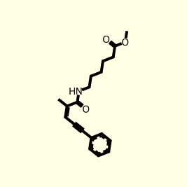 COC(=O)CCCCCNC(=O)C(C)=CC#Cc1ccccc1